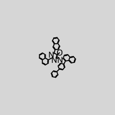 c1ccc(-c2ccc3c4c5ccccc5ccc4n(-c4nc(-c5cccc6ccccc56)nc5c4oc4cc6ccccc6cc45)c3c2)cc1